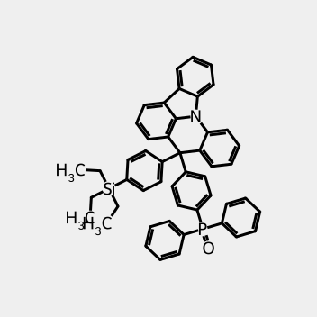 CC[Si](CC)(CC)c1ccc(C2(c3ccc(P(=O)(c4ccccc4)c4ccccc4)cc3)c3ccccc3-n3c4ccccc4c4cccc2c43)cc1